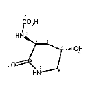 O=C(O)N[C@H]1C[C@H](O)CNC1=O